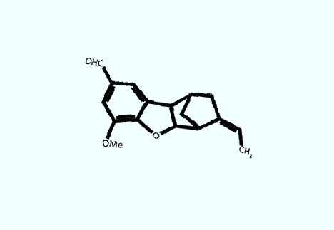 CC=C1CC2CC1C1Oc3c(OC)cc(C=O)cc3C21